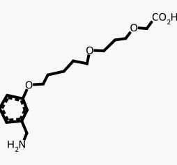 NCc1cccc(OCCCCCOCCCOCC(=O)O)c1